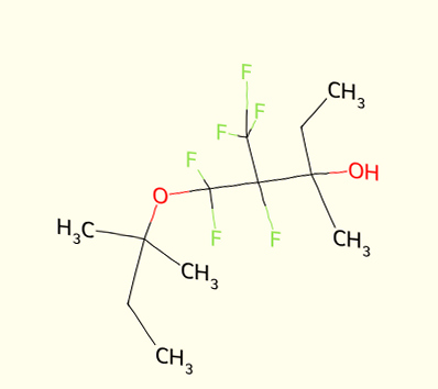 CCC(C)(C)OC(F)(F)C(F)(C(F)(F)F)C(C)(O)CC